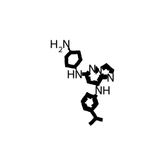 CC(C)c1cccc(Nc2cc(N[C@H]3CC[C@H](N)CC3)nn3ccnc23)c1